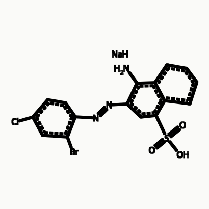 Nc1c(/N=N/c2ccc(Cl)cc2Br)cc(S(=O)(=O)O)c2ccccc12.[NaH]